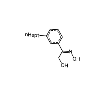 CCCCCCCc1cccc(C(CO)=NO)c1